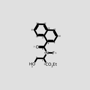 CCOC(=O)C(CO)N(F)C(=O)c1cccc2ccccc12